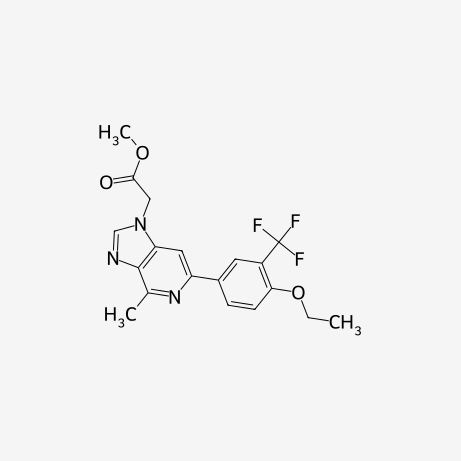 CCOc1ccc(-c2cc3c(ncn3CC(=O)OC)c(C)n2)cc1C(F)(F)F